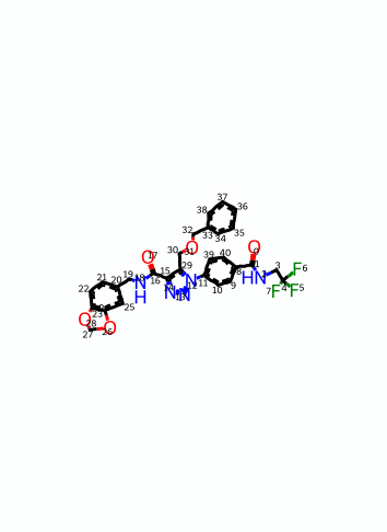 O=C(NCC(F)(F)F)c1ccc(-n2nnc(C(=O)NCc3ccc4c(c3)OCO4)c2COCc2ccccc2)cc1